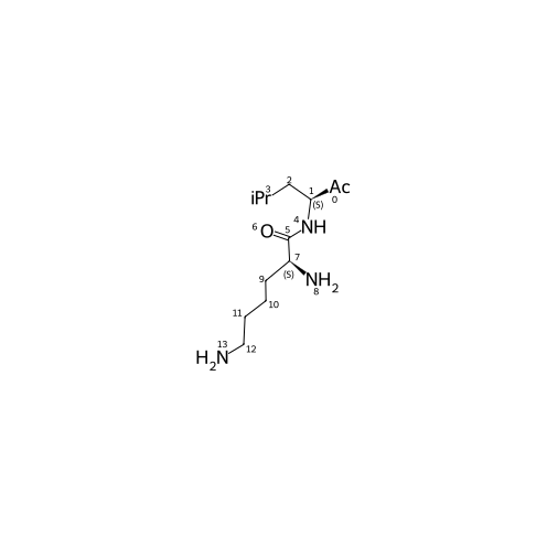 CC(=O)[C@H](CC(C)C)NC(=O)[C@@H](N)CCCCN